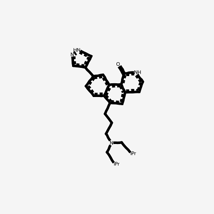 CC(C)CN(CCCc1cc2cc[nH]c(=O)c2c2cc(-c3cn[nH]c3)ccc12)CC(C)C